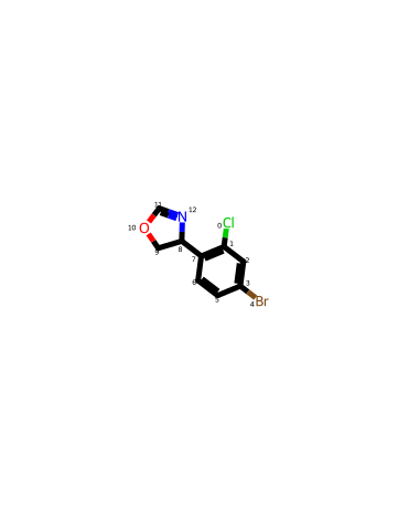 Clc1cc(Br)ccc1C1CO[C]=N1